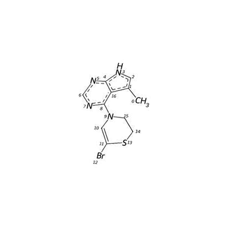 Cc1c[nH]c2ncnc(N3C=C(Br)SCC3)c12